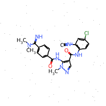 [C-]#[N+]c1cc(Cl)ccc1NC(=O)c1cnn(C)c1NC(=O)c1ccc(C(=N)N(C)C)cc1